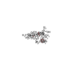 CCC(=O)O[C@H](CC(=O)O[C@H](C)CCO)[C@@H](OC)[C@H]([C@@H](CC(OC)OC)C[C@@H](C)[C@H](CO)OC(C)=O)[C@@H]1O[C@H](C)[C@@H](O[C@@H]2C[C@@](C)(OC(C)=O)[C@@H](OC(=O)CC)[C@H](C)O2)[C@H](N(C)C)[C@H]1OC(C)=O